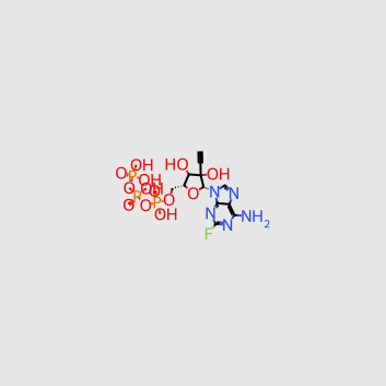 C#C[C@@]1(O)[C@H](O)[C@@H](COP(=O)(O)OP(=O)(O)OP(=O)(O)O)O[C@H]1n1cnc2c(N)nc(F)nc21